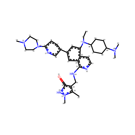 CCN(c1cc(-c2ccc(N3CCN(C)CC3)nc2)cc2c(NCc3c(C)n(C)[nH]c3=O)nccc12)C1CCC(N(C)C)CC1